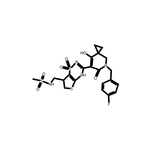 CS(=O)(=O)NCC1CSC2=C1S(=O)(=O)N=C(C1=C(O)C3(CC3)CN(Cc3ccc(F)cc3)C1=O)N2